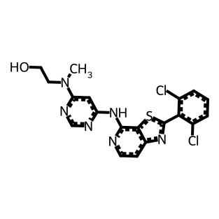 CN(CCO)c1cc(Nc2nccc3nc(-c4c(Cl)cccc4Cl)sc23)ncn1